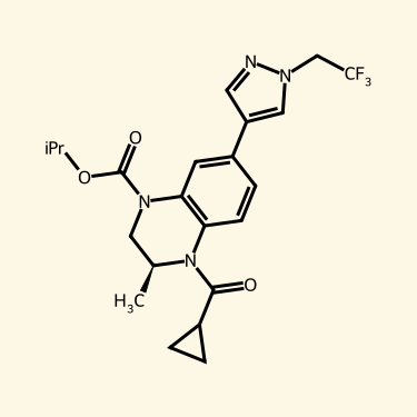 CC(C)OC(=O)N1C[C@H](C)N(C(=O)C2CC2)c2ccc(-c3cnn(CC(F)(F)F)c3)cc21